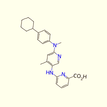 Cc1cc(N(C)c2ccc(C3CCCCC3)cc2)ncc1Nc1cccc(C(=O)O)n1